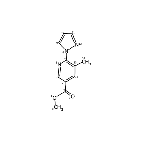 COC(=O)c1cnc(-n2cccn2)c(C)c1